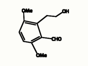 COc1ccc(OC)c(CCO)c1C=O